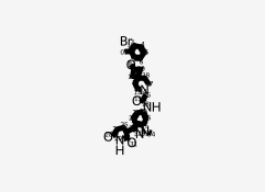 Cc1c(Br)cccc1OC1CC2(CCN(CC(=O)Nc3ccc4c(C5CCC(=O)NC5=O)nn(C)c4c3)CC2)C1